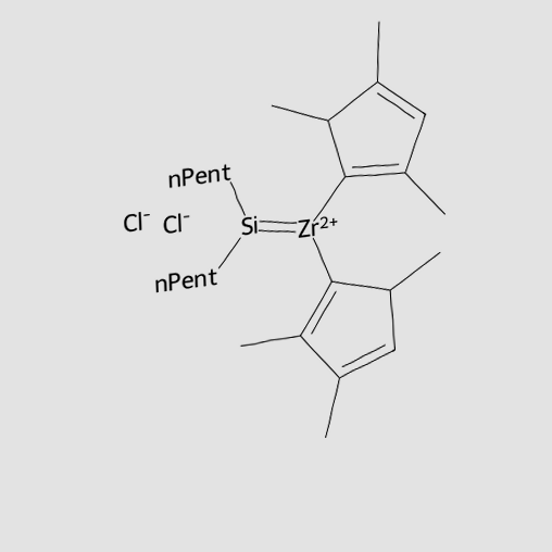 CCCCC[Si](CCCCC)=[Zr+2]([C]1=C(C)C(C)=CC1C)[C]1=C(C)C=C(C)C1C.[Cl-].[Cl-]